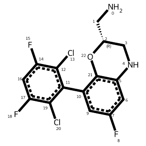 NC[C@@H]1CNc2cc(F)cc(-c3c(Cl)c(F)cc(F)c3Cl)c2O1